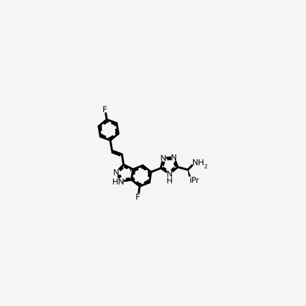 CC(C)[C@H](N)c1nnc(-c2cc(F)c3[nH]nc(C=Cc4ccc(F)cc4)c3c2)[nH]1